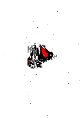 CN1CC[C@]23c4c5ccc(O)c4O[C@H]2C(OC(=O)C[C@H](NC(=O)[C@@H](O)c2ccccc2)C(=O)O)=CC[C@@]3(OC(=O)C[C@H](NC(=O)[C@@H](O)c2ccccc2)C(=O)O)[C@H]1C5